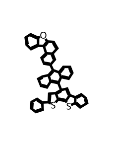 c1ccc(-c2cc3c(-c4c5ccccc5c(-c5ccc6c(ccc7oc8ccccc8c76)c5)c5ccccc45)cc4c5ccccc5sc4c3s2)cc1